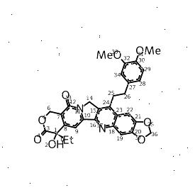 CC[C@@]1(O)C(=O)OCc2c1cc1n(c2=O)Cc2c-1nc1cc3c(cc1c2CCc1ccc(OC)c(OC)c1)OCO3